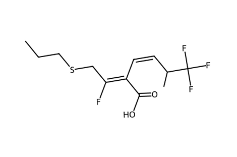 CCCSC/C(F)=C(\C=C/C(C)C(F)(F)F)C(=O)O